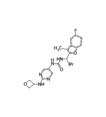 Cc1c(C(NC(=O)Nc2cnc(NC3COC3)nc2)C(C)C)oc2ccc(F)cc12